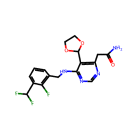 NC(=O)Cc1ncnc(NCc2cccc(C(F)F)c2F)c1C1OCCO1